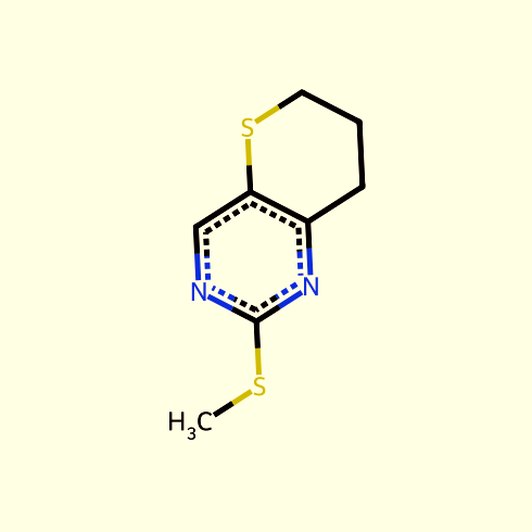 CSc1ncc2c(n1)CCCS2